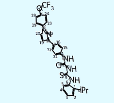 CC(C)c1ccccc1NC(=S)NC(=O)Nc1ccc(-c2ccn(-c3ccc(OC(F)(F)F)cc3)n2)cc1